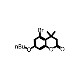 CCCCOc1cc(Br)c2c(c1)OC(=O)CC2(C)C